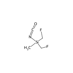 C[Si](CF)(CF)N=C=O